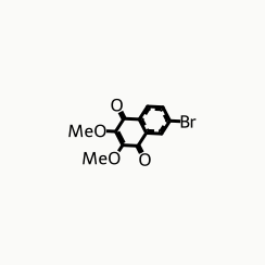 COC1=C(OC)C(=O)c2cc(Br)ccc2C1=O